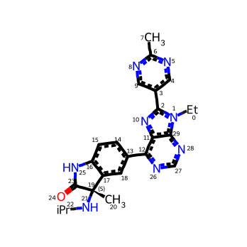 CCn1c(-c2cnc(C)nc2)nc2c(-c3ccc4c(c3)[C@](C)(NC(C)C)C(=O)N4)ncnc21